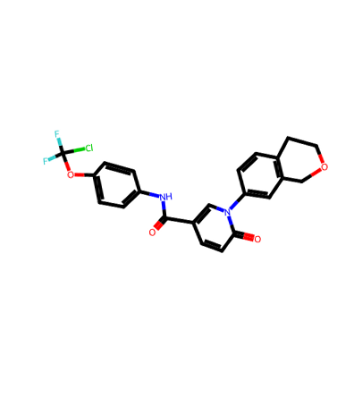 O=C(Nc1ccc(OC(F)(F)Cl)cc1)c1ccc(=O)n(-c2ccc3c(c2)COCC3)c1